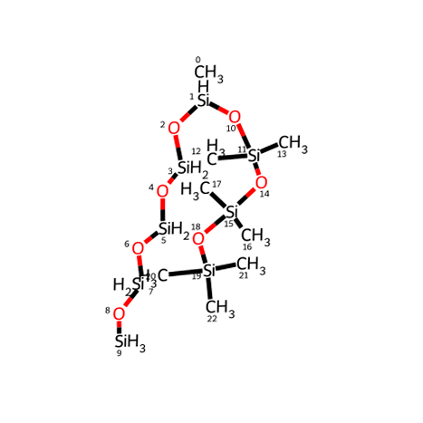 C[SiH](O[SiH2]O[SiH2]O[SiH2]O[SiH3])O[Si](C)(C)O[Si](C)(C)O[Si](C)(C)C